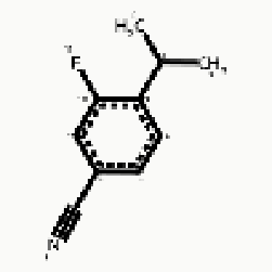 CC(C)c1ccc(C#N)cc1F